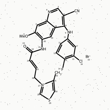 COc1cc2ncc(C#N)c(Nc3ccc(F)c(Cl)c3)c2cc1NC(=O)/C=C/C[n+]1cscc1C.[Br-]